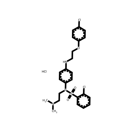 CN(C)CCN(c1ccc(NCCOc2ccc(Cl)cc2)cc1)S(=O)(=O)c1ccccc1Cl.Cl